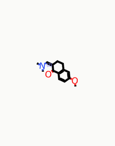 COc1ccc2c(c1)CC/C(=C/N(C)C)C2=O